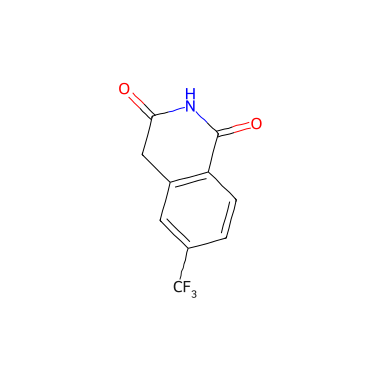 O=C1Cc2cc(C(F)(F)F)ccc2C(=O)N1